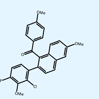 COc1ccc(C(=O)c2c(-c3ccc(F)c(OC)c3Cl)ccc3cc(OC)ccc23)cc1